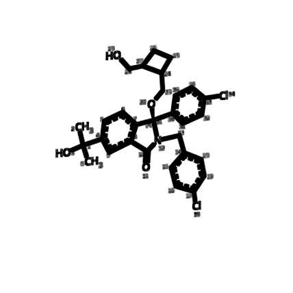 CC(C)(O)c1ccc2c(c1)C(=O)N(Cc1ccc(Cl)cc1)[C@@]2(OCC1CCC1CO)c1ccc(Cl)cc1